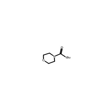 [CH2]C(C)(C)C(=O)N1CCOCC1